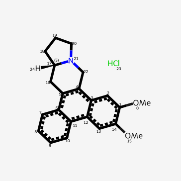 COc1cc2c3c(c4ccccc4c2cc1OC)C[C@@H]1CCCN1C3.Cl